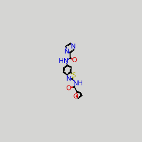 O=C(Nc1ccc2nc(NC(=O)c3ccco3)sc2c1)c1cnccn1